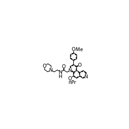 CCCOc1cc2cnccc2c2c(=O)c(-c3ccc(OC)cc3)cn(CC(=O)NCCN3CCOCC3)c12